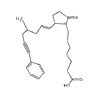 CC(CC#Cc1ccccc1)C/C=C/C1CCC(=O)N1CCCCCCC(=O)O